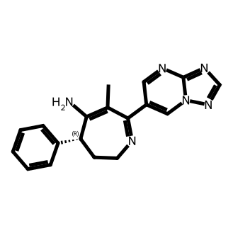 CC1=C(N)[C@@H](c2ccccc2)CCN=C1c1cnc2ncnn2c1